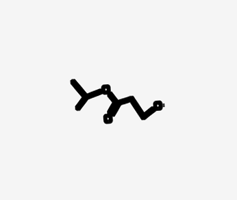 CC(C)OC(=O)CC[O]